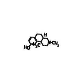 CN1CC[C@@]2(C)c3cc(O)ccc3CC[C@H]2C1